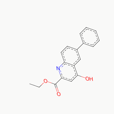 CCOC(=O)c1cc(O)c2cc(-c3ccccc3)ccc2n1